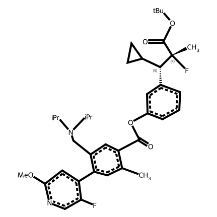 COc1cc(-c2cc(C)c(C(=O)Oc3cccc([C@H](C4CC4)[C@@](C)(F)C(=O)OC(C)(C)C)c3)cc2CN(C(C)C)C(C)C)c(F)cn1